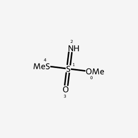 COS(=N)(=O)SC